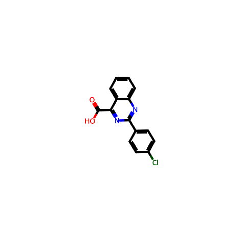 O=C(O)c1nc(-c2ccc(Cl)cc2)nc2ccccc12